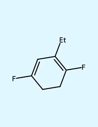 CCC1=C(F)CCC(F)=C1